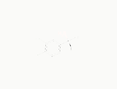 B[C@@](C)(CC)c1ccc(Cl)c(Cl)c1